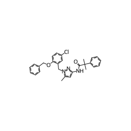 Cc1cc(NC(=O)C(C)(C)c2ccccc2)nn1Cc1cc(Cl)ccc1OCc1ccccc1